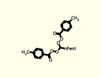 [CH2]CCCC[C](OOC(=O)c1ccc(C)cc1)OOC(=O)c1ccc(C)cc1